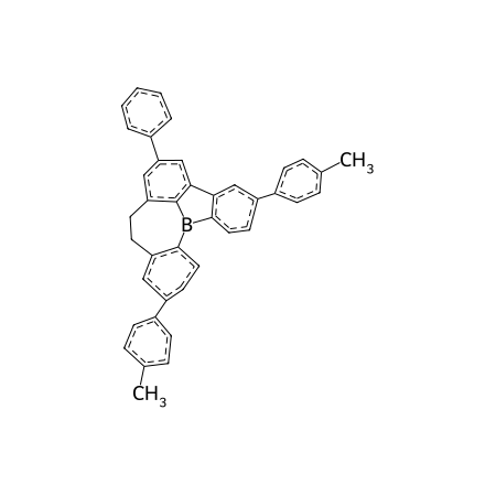 Cc1ccc(-c2ccc3c(c2)CCc2cc(-c4ccccc4)cc4c2B3c2ccc(-c3ccc(C)cc3)cc2-4)cc1